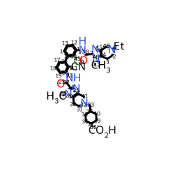 CCN1CCc2c(nc(C(=O)Nc3cccc(-c4cccc(NC(=O)c5nc6c(n5C)CCN(CC5CCC(C(=O)O)CC5)C6)c4C#N)c3Cl)n2C)C1